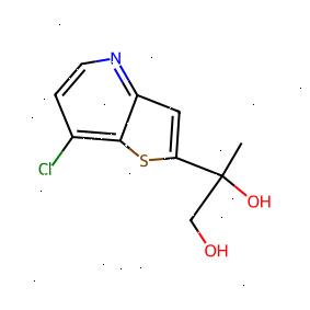 CC(O)(CO)c1cc2nccc(Cl)c2s1